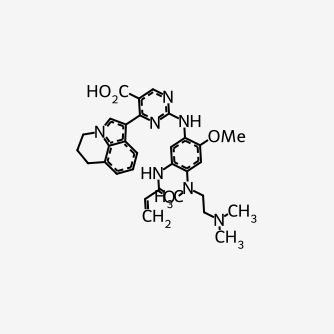 C=CC(=O)Nc1cc(Nc2ncc(C(=O)O)c(-c3cn4c5c(cccc35)CCC4)n2)c(OC)cc1N(C)CCN(C)C